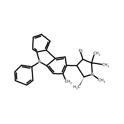 CCC1C(c2cc3c4ccccc4n(-c4ccccc4)c3cc2C)[C@@H](C)N(C)C1(C)C